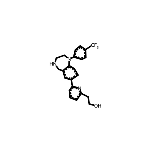 OCCc1cccc(-c2ccc3c(c2)CNCCN3c2ccc(C(F)(F)F)cc2)n1